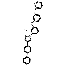 [Pt].c1ccc(-c2ccc(-c3cnn(-c4cccc(Oc5cccc(Oc6ccccn6)c5)c4)c3)cc2)cc1